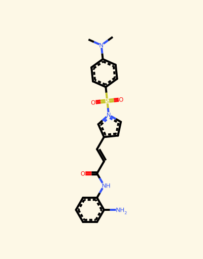 CN(C)c1ccc(S(=O)(=O)n2ccc(/C=C/C(=O)Nc3ccccc3N)c2)cc1